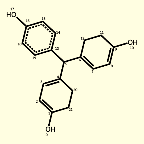 OC1=CC=C(C(C2=CC=C(O)CC2)c2ccc(O)cc2)CC1